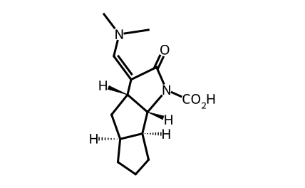 CN(C)C=C1C(=O)N(C(=O)O)[C@@H]2[C@H]3CCC[C@H]3C[C@H]12